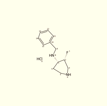 Cl.F[C@@H]1CNCC[C@@H]1NCc1ccccc1